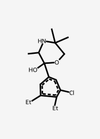 CCc1cc(C2(O)OCC(C)(C)NC2C)cc(Cl)c1CC